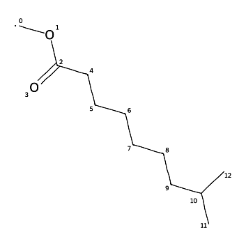 [CH2]OC(=O)CCCCCCC(C)C